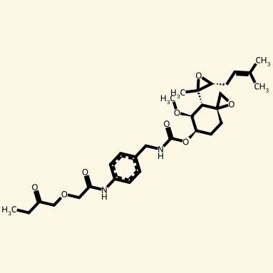 CCC(=O)COCC(=O)Nc1ccc(CNC(=O)O[C@@H]2CC[C@]3(CO3)[C@@H](C3(C)O[C@@H]3CC=C(C)C)[C@@H]2OC)cc1